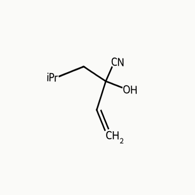 C=CC(O)(C#N)CC(C)C